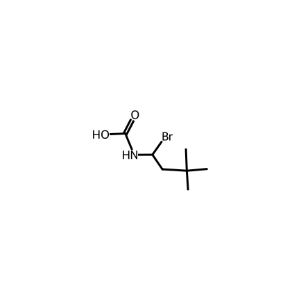 CC(C)(C)CC(Br)NC(=O)O